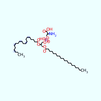 CC/C=C\C/C=C\C/C=C\C/C=C\C/C=C\CCCC(=O)O[C@H](COC(=O)CCCCCCCCCCCCCCCCCCC)COP(=O)(O)OC[C@H](N)C(=O)O